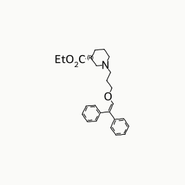 CCOC(=O)[C@@H]1CCCN(CCCOC=C(c2ccccc2)c2ccccc2)C1